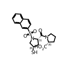 O=C(O)[C@H]1CCCN1C(=O)[C@@H]1C[C@@H](S)CN1S(=O)(=O)c1ccc2ccccc2c1